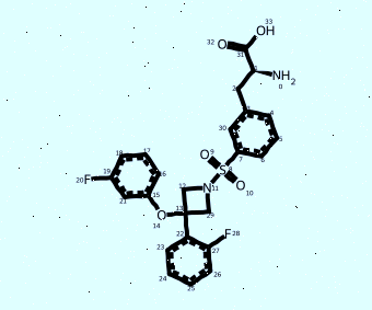 N[C@@H](Cc1cccc(S(=O)(=O)N2CC(Oc3cccc(F)c3)(c3ccccc3F)C2)c1)C(=O)O